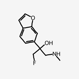 CNCC(O)(CF)c1ccc2ccoc2c1